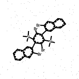 C[Si](C)(C)c1c(Br)c(-c2cc3ccccc3cc2Br)c([Si](C)(C)C)c(Br)c1-c1cc2ccccc2cc1Br